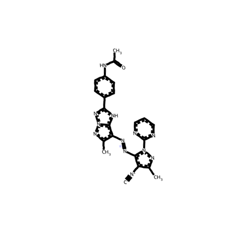 [C-]#[N+]c1c(C)nn(-c2ncccn2)c1/N=N/c1c(C)nn2nc(-c3ccc(NC(C)=O)cc3)[nH]c12